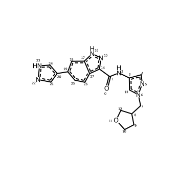 O=C(Nc1cnn(CC2CCOC2)c1)c1n[nH]c2cc(-c3cn[nH]c3)ccc12